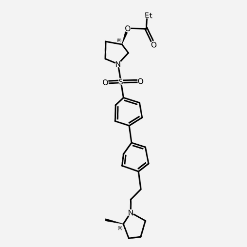 CCC(=O)O[C@@H]1CCN(S(=O)(=O)c2ccc(-c3ccc(CCN4CCC[C@H]4C)cc3)cc2)C1